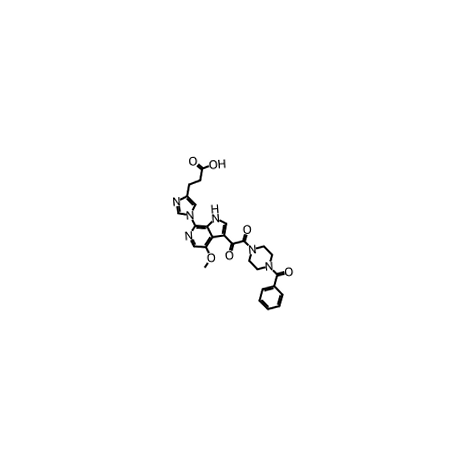 COc1cnc(-n2cnc(CCC(=O)O)c2)c2[nH]cc(C(=O)C(=O)N3CCN(C(=O)c4ccccc4)CC3)c12